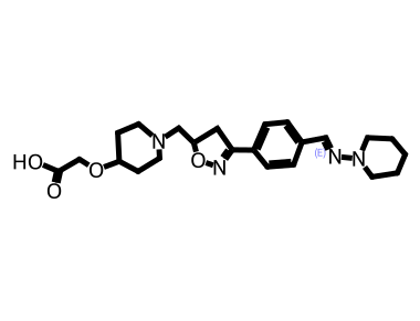 O=C(O)COC1CCN(CC2CC(c3ccc(/C=N/N4CCCCC4)cc3)=NO2)CC1